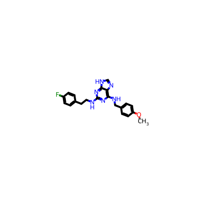 COc1ccc(CNc2nc(NCCc3ccc(F)cc3)nc3[nH]cnc23)cc1